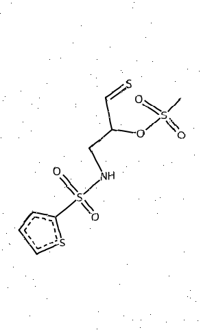 CS(=O)(=O)OC(C=S)CNS(=O)(=O)c1cccs1